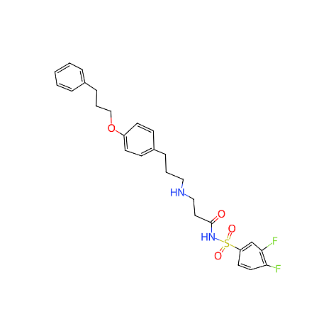 O=C(CCNCCCc1ccc(OCCCc2ccccc2)cc1)NS(=O)(=O)c1ccc(F)c(F)c1